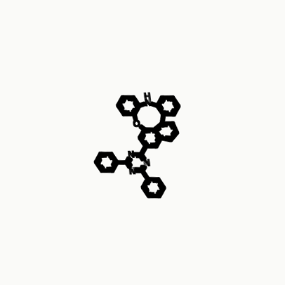 c1ccc(-c2nc(-c3ccccc3)nc(-c3cc4c5c(cccc5c3)-c3ccccc3Nc3ccccc3O4)n2)cc1